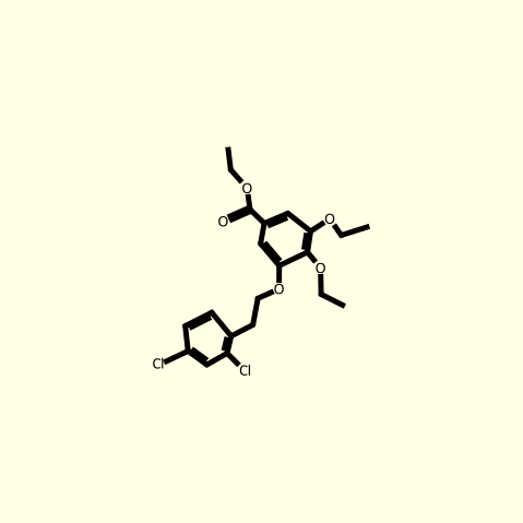 CCOC(=O)c1cc(OCC)c(OCC)c(OCCc2ccc(Cl)cc2Cl)c1